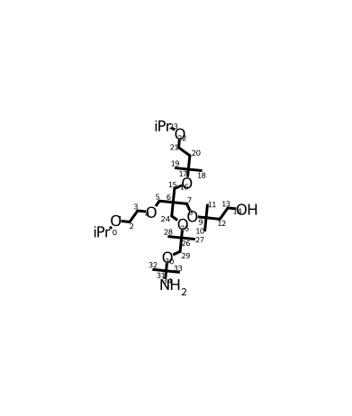 CC(C)OCCOCC(COC(C)(C)CCO)(COC(C)(C)CCOC(C)C)COC(C)(C)COC(C)(C)N